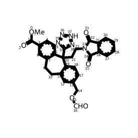 COC(=O)c1ccc2c(c1)CCc1cc(COC=O)ccc1C2(CCN1C(=O)c2ccccc2C1=O)c1nn[nH]n1